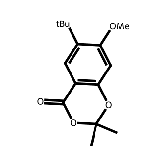 COc1cc2c(cc1C(C)(C)C)C(=O)OC(C)(C)O2